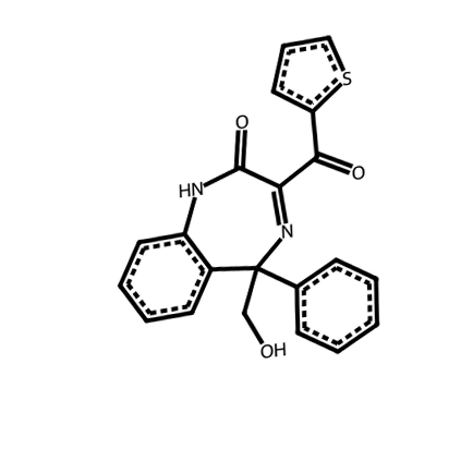 O=C1Nc2ccccc2C(CO)(c2ccccc2)N=C1C(=O)c1cccs1